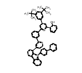 CC(C)(C)c1cc(-c2cc(-c3cccc(-c4cc(-c5cccc6c7ccccc7n(-c7ccc(-c8ccccc8)cc7)c56)ccn4)c3)nc(-c3ccccc3O)c2)cc(C(C)(C)C)c1